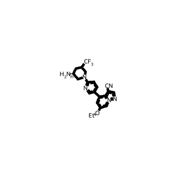 CCOc1cc(-c2ccc(N3CC(C(F)(F)F)C[C@@H](N)C3)nc2)c2c(C#N)cnn2c1